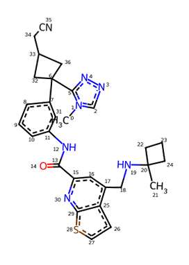 Cn1cnnc1C1(c2cccc(NC(=O)c3cc(CNC4(C)CCC4)c4ccsc4n3)c2)CC(CC#N)C1